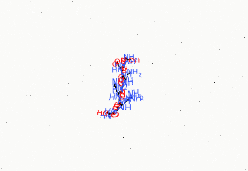 CNC(C(=O)NCC(=O)N[C@@H](CCCNC(=N)N)C(=O)NCC(=O)N[C@@H](CCCN)C(=O)NCC(=O)N[C@@H](CCCN)C(=O)NCC(=O)N[C@@H](CCC(=O)O)C(=O)NCC(=O)NC(C(N)=O)[C@@H](C)O)[C@@H](C)O